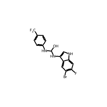 OC(Nc1ccc(C(F)(F)F)cc1)Nc1c[nH]c2cc(F)c(Br)cc12